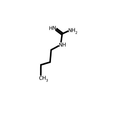 CCCCNC(=N)N